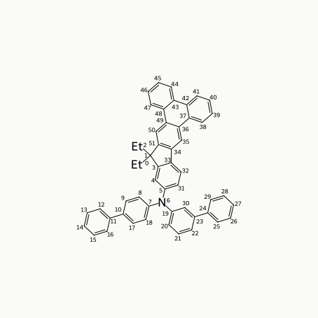 CCC1(CC)c2cc(N(c3ccc(-c4ccccc4)cc3)c3cccc(-c4ccccc4)c3)ccc2-c2cc3c4ccccc4c4ccccc4c3cc21